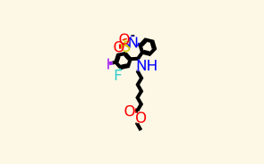 CCOC(=O)CCCCCCNC1c2ccccc2N(C)S(=O)(=O)c2cc(I)c(F)cc21